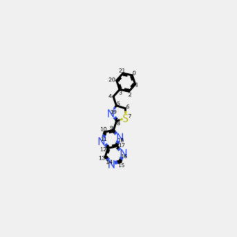 c1ccc(CC2CSC(c3cnc4cncnc4n3)=N2)cc1